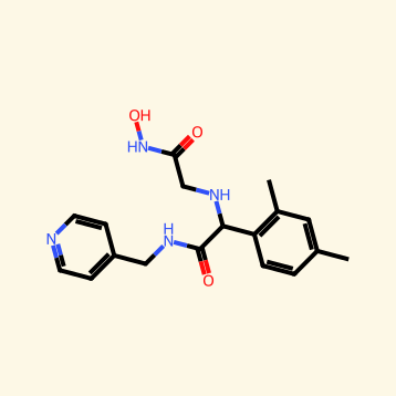 Cc1ccc(C(NCC(=O)NO)C(=O)NCc2ccncc2)c(C)c1